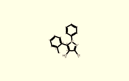 CCc1nn(-c2ccccc2)c(-c2ccccc2C)c1O